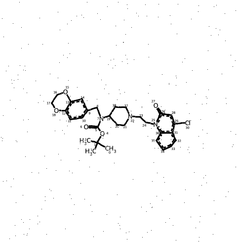 CC(C)(C)OC(=O)N(Cc1ccc2c(c1)OCCO2)C1CCN(CCn2c(=O)cc(Cl)c3ccccc32)CC1